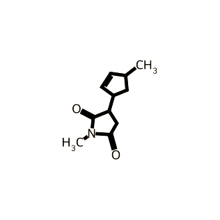 CC1C=CC(C2CC(=O)N(C)C2=O)C1